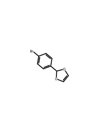 Brc1ccc(C2OC=CO2)cc1